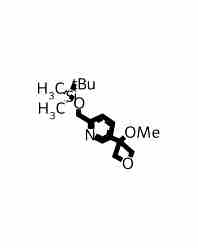 COC1(c2ccc(CO[Si](C)(C)C(C)(C)C)nc2)COC1